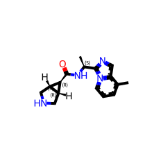 Cc1cccn2c([C@H](C)NC(=O)[C@H]3[C@@H]4CNC[C@@H]43)ncc12